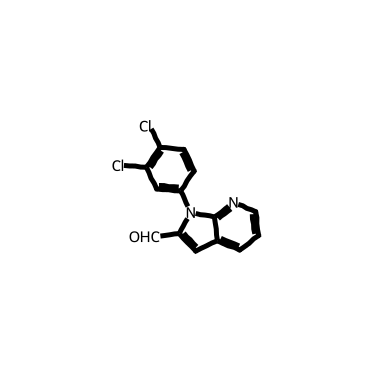 O=Cc1cc2cccnc2n1-c1ccc(Cl)c(Cl)c1